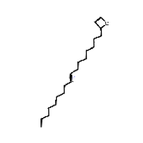 CCCCCCCC/[C]=C/CCCCCCCC1CCO1